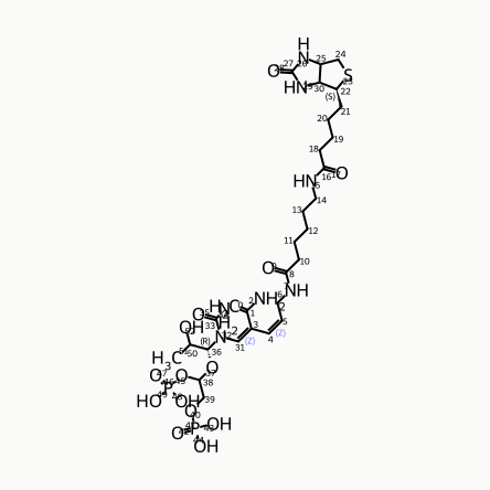 C=C(N)C(/C=C\CNC(=O)CCCCCNC(=O)CCCC[C@@H]1SCC2NC(=O)NC21)=C\N(C(N)=O)[C@H](OC(COP(=O)(O)O)OP(=O)(O)O)C(C)O